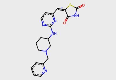 O=C1NC(=O)/C(=C\c2ccnc(NC3CCCN(Cc4ccccn4)C3)n2)S1